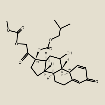 COC(=O)OCC(=O)[C@@]1(OC(=O)OCC(C)C)CC[C@H]2[C@@H]3CCC4=CC(=O)C=C[C@]4(C)[C@H]3C(O)C[C@@]21C